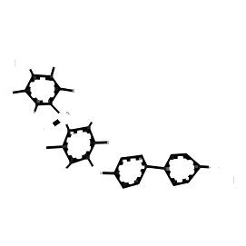 COc1ccc(-c2ccc(Oc3c(F)c(F)c(S(=O)(=O)c4c(F)c(F)c(C)c(F)c4F)c(F)c3F)cc2)cc1